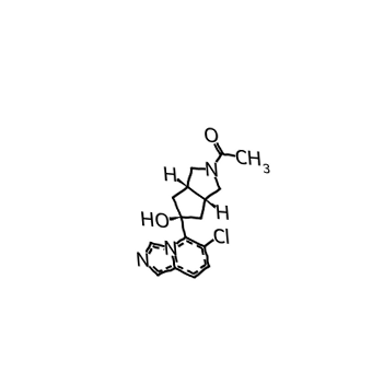 CC(=O)N1C[C@@H]2C[C@](O)(c3c(Cl)ccc4cncn34)C[C@@H]2C1